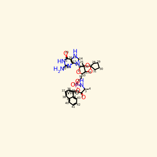 COC(=O)[C@H](C)NP(=O)(OC[C@H]1O[C@@H](N2CNc3c2nc(N)[nH]c3=O)C2(C)OC3(CCCC3)OC12)Oc1cccc2ccccc12